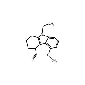 CCn1c2c(c3c(OC)cccc31)C(C=O)CCC2